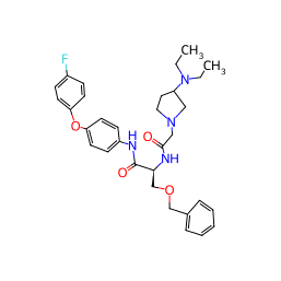 CCN(CC)C1CCN(CC(=O)N[C@@H](COCc2ccccc2)C(=O)Nc2ccc(Oc3ccc(F)cc3)cc2)C1